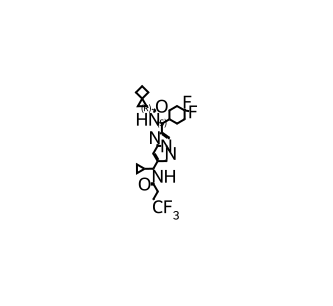 O=C(CCC(F)(F)F)NC(c1cnn2cc([C@@H](NC(=O)[C@@H]3CC34CCC4)C3CCC(F)(F)CC3)nc2c1)C1CC1